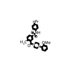 CCCc1ccc(NS(=O)(=O)c2ccc(C)c(C(=O)N3CCN(c4ccccc4OC)CC3)c2)cc1